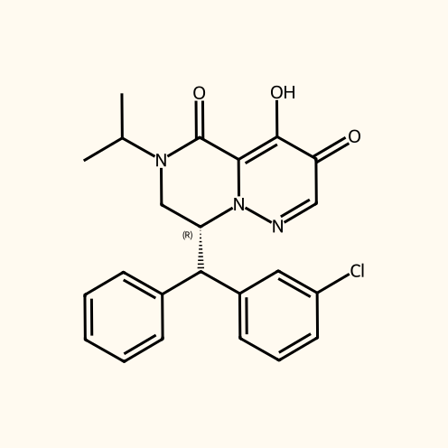 CC(C)N1C[C@@H](C(c2ccccc2)c2cccc(Cl)c2)n2ncc(=O)c(O)c2C1=O